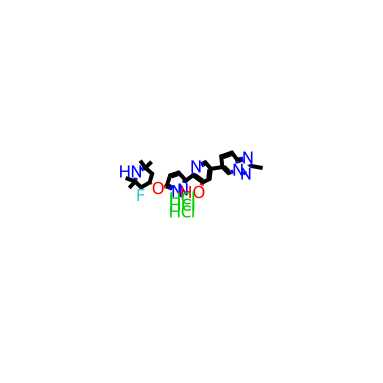 Cc1nc2ccc(-c3cnc(-c4ccc(O[C@H]5CC(C)(C)NC(C)(C)[C@H]5F)nn4)c(O)c3)cn2n1.Cl.Cl.Cl